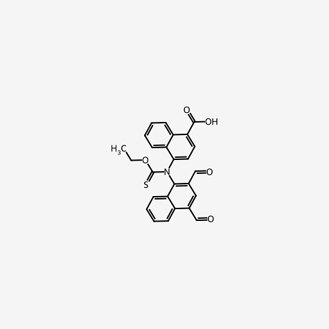 CCOC(=S)N(c1ccc(C(=O)O)c2ccccc12)c1c(C=O)cc(C=O)c2ccccc12